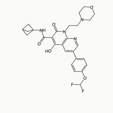 O=C(NC12CC(C1)C2)c1c(O)c2cc(-c3ccc(OC(F)F)cc3)cnc2n(CCN2CCOCC2)c1=O